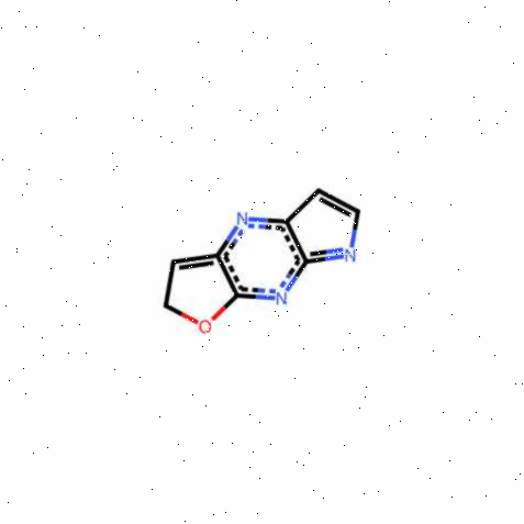 C1=Cc2nc3c(nc2=N1)OCC=3